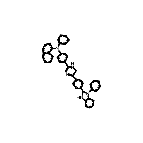 C1=C(c2ccc(N(c3ccccc3)c3cccc4ccccc34)cc2)NCC(c2ccc(C3Nc4ccccc4N3c3ccccc3)cc2)=N1